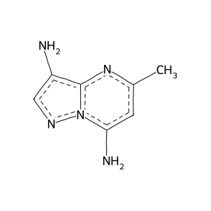 Cc1cc(N)n2ncc(N)c2n1